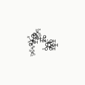 CO[C@@H]1O[C@H](CNC(=O)CC[C@H](NC(=O)[C@@H](NC(=O)CCCC(C)(C)C)C(C)C)C(=O)C(C)(C)C)[C@@H](O)[C@H](O)[C@H]1O